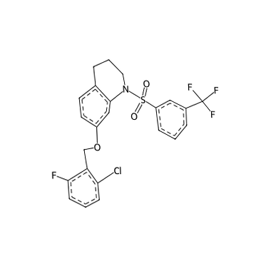 O=S(=O)(c1cccc(C(F)(F)F)c1)N1CCCc2ccc(OCc3c(F)cccc3Cl)cc21